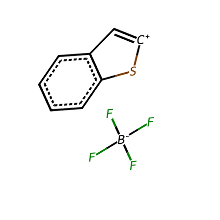 F[B-](F)(F)F.[C+]1=Cc2ccccc2S1